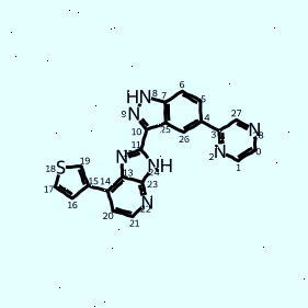 c1cnc(-c2ccc3[nH]nc(-c4nc5c(-c6ccsc6)ccnc5[nH]4)c3c2)cn1